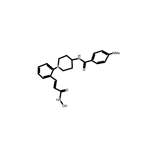 CNc1ccc(C(=O)NC2CCN(c3ccccc3C=CC(=O)NO)CC2)cc1